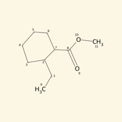 C[CH]C1CCCCC1C(=O)OC